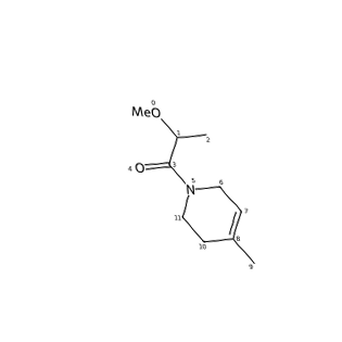 COC(C)C(=O)N1CC=C(C)CC1